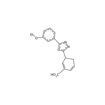 CCOc1cccc(-c2nnc(C3C=C(C(=O)O)C=CC3)o2)c1